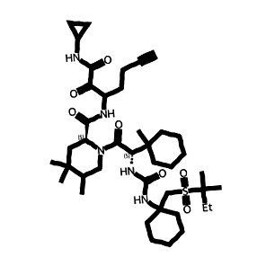 C#CCCC(NC(=O)[C@@H]1CC(C)(C)C(C)CN1C(=O)[C@@H](NC(=O)NC1(CS(=O)(=O)C(C)(C)CC)CCCCC1)C1(C)CCCCC1)C(=O)C(=O)NC1CC1